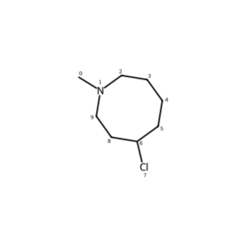 CN1CCCCC(Cl)CC1